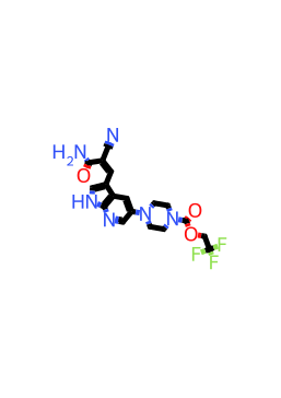 N#CC(=Cc1c[nH]c2ncc(N3CCN(C(=O)OCC(F)(F)F)CC3)cc12)C(N)=O